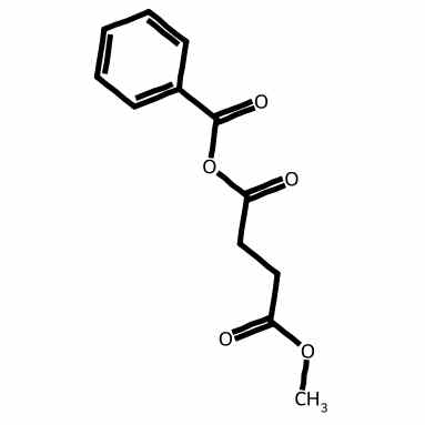 COC(=O)CCC(=O)OC(=O)c1ccccc1